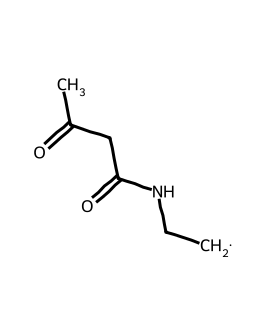 [CH2]CNC(=O)CC(C)=O